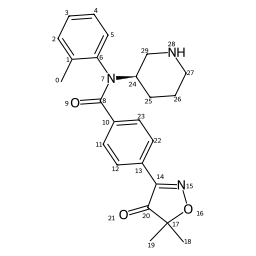 Cc1ccccc1N(C(=O)c1ccc(C2=NOC(C)(C)C2=O)cc1)[C@@H]1CCCNC1